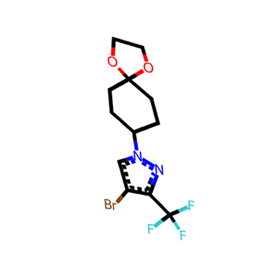 FC(F)(F)c1nn(C2CCC3(CC2)OCCO3)cc1Br